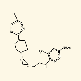 CC(=O)Nc1cnc(NCC[C@@H]2C[C@@H]2C2CCN(c3ncc(Cl)cn3)CC2)c(C)c1